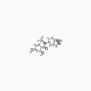 COC1=CC(OC)C(C(=O)N(C2CC2)C2CCc3[nH]ncc3C2)C=C1